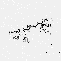 CO[Si](C)(CCNCC[Si](C)(OC)OC)OC